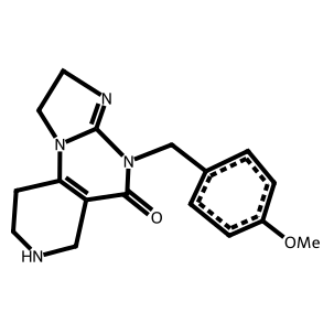 COc1ccc(CN2C(=O)C3=C(CCNC3)N3CCN=C23)cc1